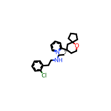 Clc1ccccc1CCNCC[C@@]1(c2ccccn2)CCOC2(CCCC2)C1